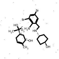 CC1=CC[C@@H](C(C)(C)O)C[C@@H]1O.Nc1c(Br)cc(Br)cc1CN[C@H]1CC[C@H](O)CC1